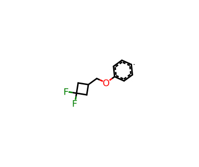 FC1(F)CC(COc2cc[c]cc2)C1